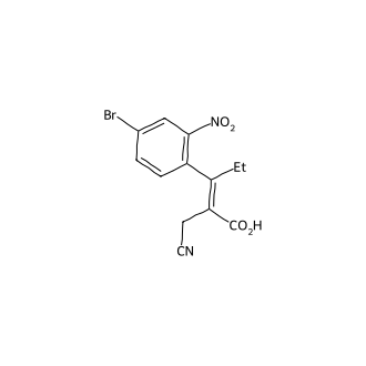 CC/C(=C(/CC#N)C(=O)O)c1ccc(Br)cc1[N+](=O)[O-]